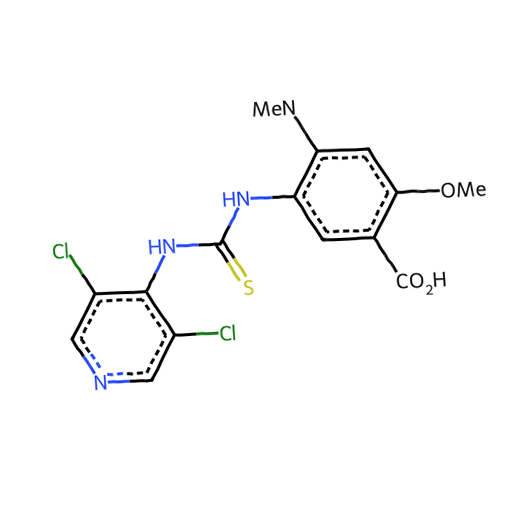 CNc1cc(OC)c(C(=O)O)cc1NC(=S)Nc1c(Cl)cncc1Cl